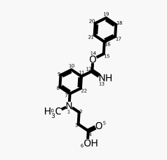 CN(CCC(=O)O)c1cccc(C(=N)OCc2ccccc2)c1